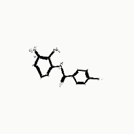 Nc1c(NC(=O)c2ccc(F)cc2)cccc1[N+](=O)[O-]